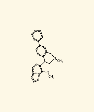 COc1c(C2CN(C)Cc3cc(-c4ccncn4)ccc32)ccc2sccc12